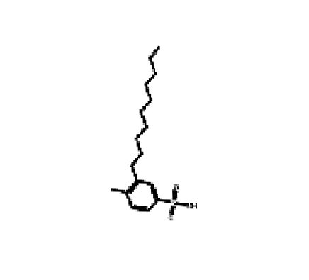 CCCCCCCCCCc1cc(S(=O)(=O)O)ccc1C